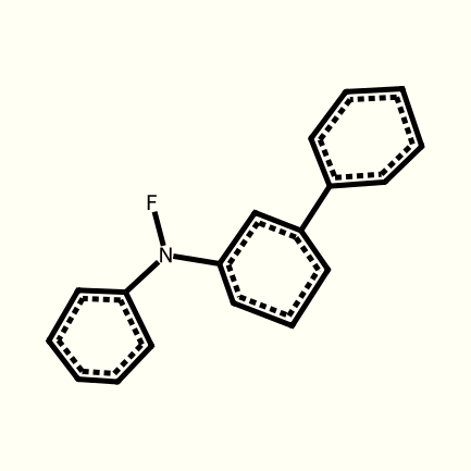 FN(c1ccccc1)c1cccc(-c2ccccc2)c1